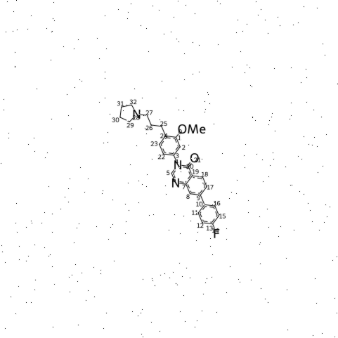 COc1cc(-n2cnc3cc(-c4ccc(F)cc4)ccc3c2=O)ccc1CCCN1CCCC1